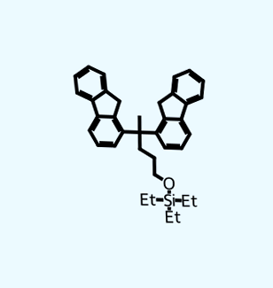 CC[Si](CC)(CC)OCCCC(C)(c1cccc2c1Cc1ccccc1-2)c1cccc2c1Cc1ccccc1-2